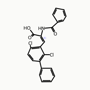 O=C(O)/C(=C\c1c(Cl)ccc(-c2ccccc2)c1Cl)NC(=O)c1ccccc1